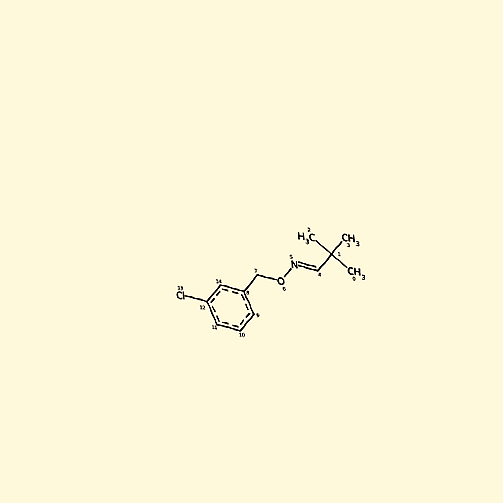 CC(C)(C)C=NOCc1cccc(Cl)c1